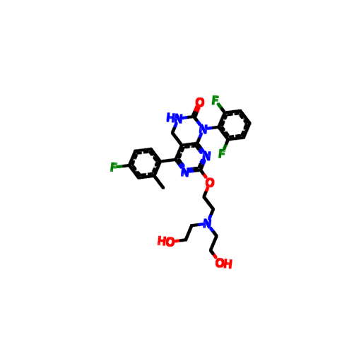 Cc1cc(F)ccc1-c1nc(OCCN(CCO)CCO)nc2c1CNC(=O)N2c1c(F)cccc1F